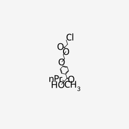 CCCC(C)(O)C(=O)c1ccc(OCCOC(=O)CCCl)cc1